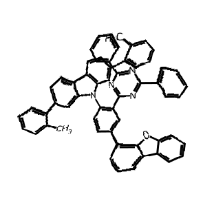 Cc1ccccc1-c1ccc2c3ccc(-c4ccccc4C)cc3n(-c3ccc(-c4cccc5c4oc4ccccc45)cc3-c3nc(-c4ccccc4)nc(-c4ccccc4)n3)c2c1